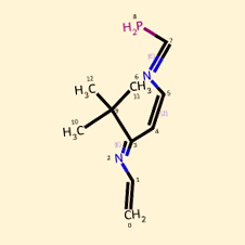 C=C\N=C(/C=C\N=C\P)C(C)(C)C